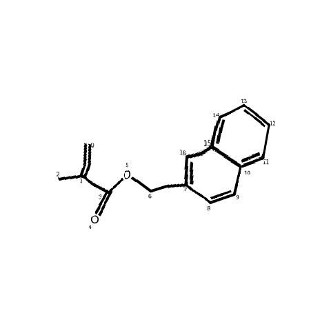 C=C(C)C(=O)OCc1ccc2ccccc2c1